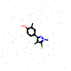 Cc1cc(-c2nn(C)c(F)c2C)ccc1O